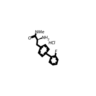 CNC(=O)[C@@H](N)Cc1ccc(-c2ccccc2F)cc1.Cl